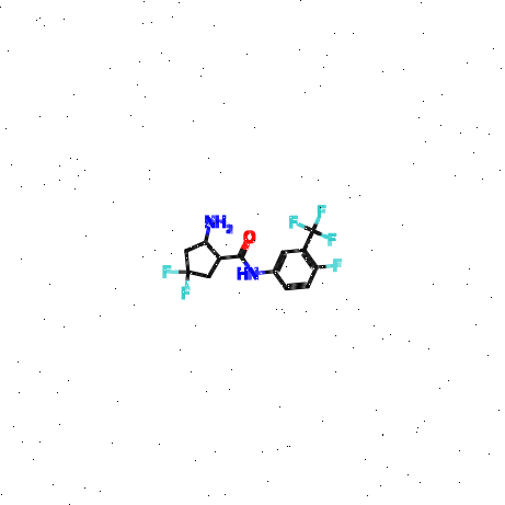 NC1CC(F)(F)CC1C(=O)Nc1ccc(F)c(C(F)(F)F)c1